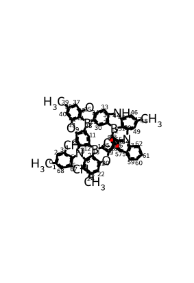 Cc1cc(C)c(N2c3cc4c(cc3B3c5ccccc5Oc5cc(C)cc2c53)B2c3cc5c(cc3Oc3cc(C)cc(c32)O4)Nc2cc(C)cc3c2B5c2cccc4c5ccccc5n-3c24)c(C)c1